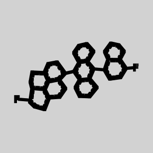 Fc1ccc(-c2c3ccccc3c(-c3ccc4ccc5c(F)ccc6ccc3c4c65)c3ccccc23)c2ccccc12